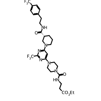 CCOC(=O)CCNC(=O)N1CCN(c2cc(N3CCC[C@@H](C(=O)NCCc4ccc(C(F)(F)F)cc4)C3)nc(C(F)(F)F)n2)CC1